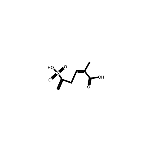 C=C(CC=C(C)C(=O)O)S(=O)(=O)O